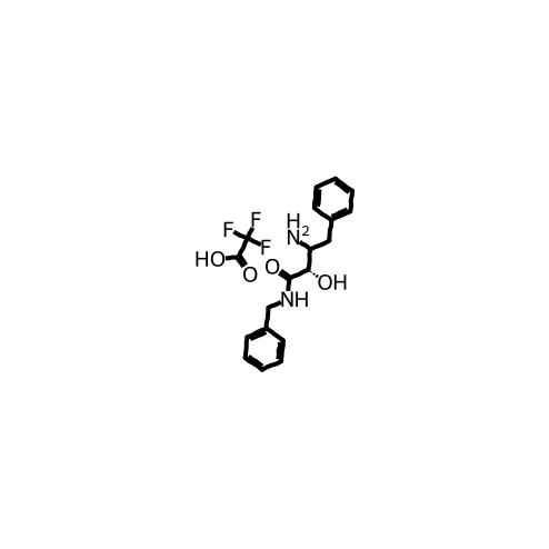 NC(Cc1ccccc1)[C@H](O)C(=O)NCc1ccccc1.O=C(O)C(F)(F)F